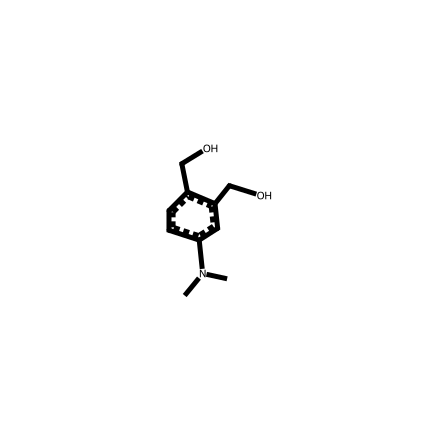 CN(C)c1ccc(CO)c(CO)c1